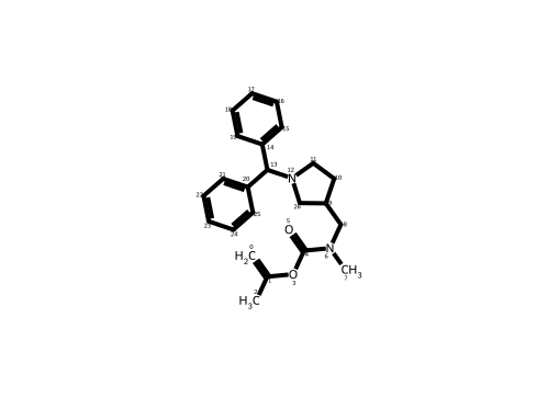 C=C(C)OC(=O)N(C)CC1CCN(C(c2ccccc2)c2ccccc2)C1